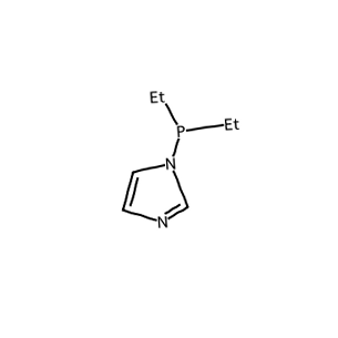 CCP(CC)n1ccnc1